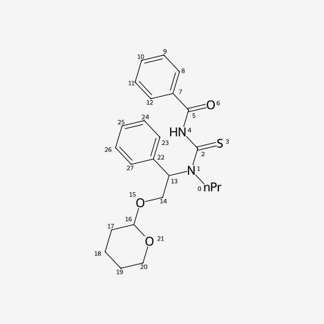 CCCN(C(=S)NC(=O)c1ccccc1)C(COC1CCCCO1)c1ccccc1